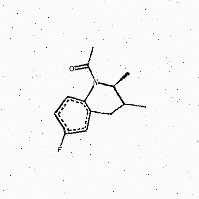 CC(=O)N1c2ccc(F)cc2CC(C)[C@@H]1C